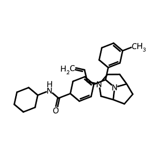 C=CCN1CCC2CCC(C1)N2C(C1=CCC(C(=O)NC2CCCCC2)C=C1)C1=CC(C)=CCC1